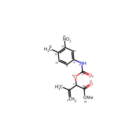 C=C(C)C(OC(=O)Nc1ccc(C)c([N+](=O)[O-])c1)C(=O)OC